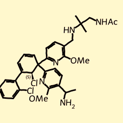 COc1nc(C2(c3ccc(C(C)N)c(OC)n3)C=CC=C(c3ccccc3Cl)[C@@H]2Cl)ccc1CNC(C)(C)CNC(C)=O